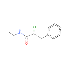 CCNC(=O)C(Cl)Cc1cc[c]cc1